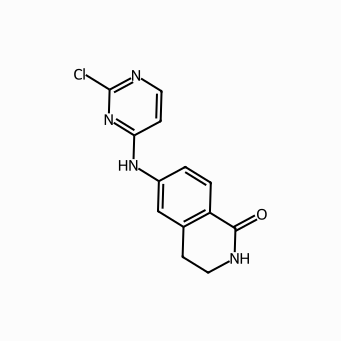 O=C1NCCc2cc(Nc3ccnc(Cl)n3)ccc21